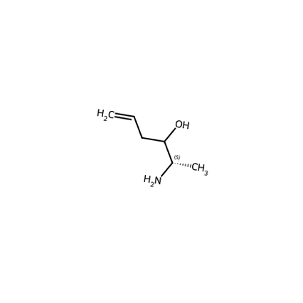 C=CCC(O)[C@H](C)N